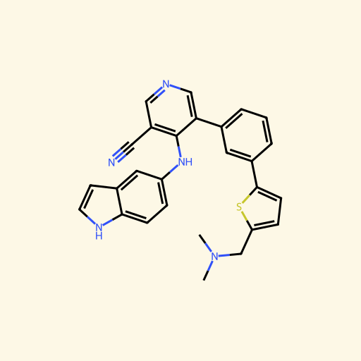 CN(C)Cc1ccc(-c2cccc(-c3cncc(C#N)c3Nc3ccc4[nH]ccc4c3)c2)s1